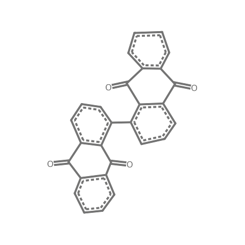 O=C1c2ccccc2C(=O)c2c1cccc2-c1cccc2c1C(=O)c1ccccc1C2=O